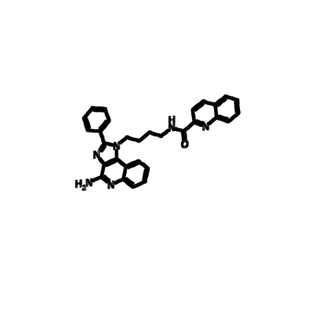 Nc1nc2ccccc2c2c1nc(-c1ccccc1)n2CCCCNC(=O)c1ccc2ccccc2n1